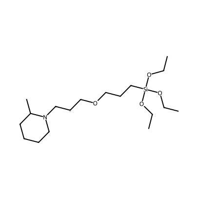 CCO[Si](CCCOC[CH]CN1CCCCC1C)(OCC)OCC